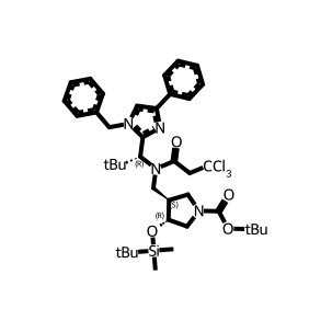 CC(C)(C)OC(=O)N1C[C@H](CN(C(=O)CC(Cl)(Cl)Cl)[C@@H](c2nc(-c3ccccc3)cn2Cc2ccccc2)C(C)(C)C)[C@@H](O[Si](C)(C)C(C)(C)C)C1